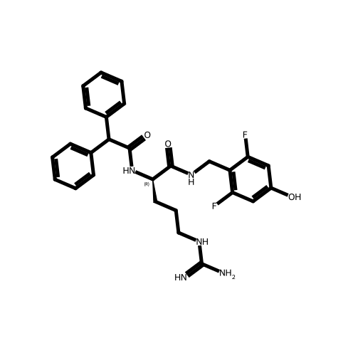 N=C(N)NCCC[C@@H](NC(=O)C(c1ccccc1)c1ccccc1)C(=O)NCc1c(F)cc(O)cc1F